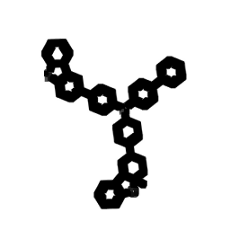 CC12CCC(C3=CCC(N(c4ccc(-c5ccccc5)cc4)c4ccc(-c5ccc6c(c5)C5C=CC=CC5S6)cc4)C=C3)C=C1c1ccccc1O2